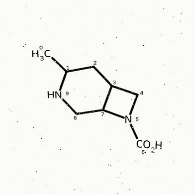 CC1CC2CN(C(=O)O)C2CN1